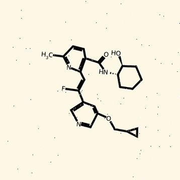 Cc1ccc(C(=O)N[C@H]2CCCC[C@@H]2O)c(/C=C(\F)c2cncc(OCC3CC3)c2)n1